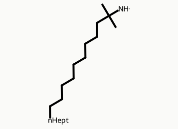 CCCCCCCCCCCCCCCCC(C)(C)[NH]